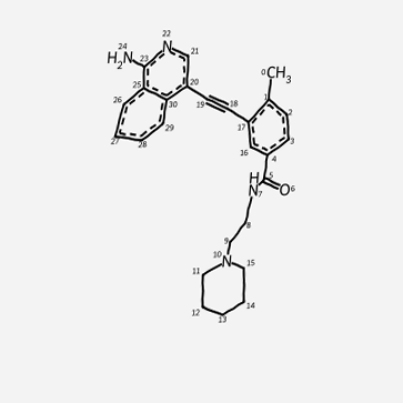 Cc1ccc(C(=O)NCCN2CCCCC2)cc1C#Cc1cnc(N)c2ccccc12